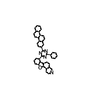 c1ccc(-c2nc(-c3ccc4c(ccc5c6ccccc6ccc45)c3)nc(-c3cccc4oc5c6ccncc6ccc5c34)n2)cc1